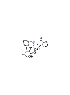 COc1ccccc1C(=O)C/C(=C/c1ccccc1)C(=O)NC(CC(C)C)C(=O)O